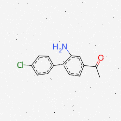 CC(=O)c1ccc(-c2ccc(Cl)cc2)c(N)c1